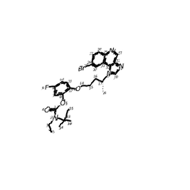 CCN(C(=O)Oc1cc(F)ccc1OCCC[C@@H](C)n1cnc2cnc3ccc(Br)cc3c21)C(C)(C)C